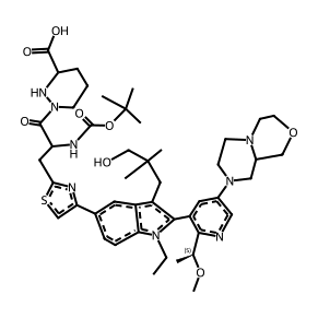 CCn1c(-c2cc(N3CCN4CCOCC4C3)cnc2[C@H](C)OC)c(CC(C)(C)CO)c2cc(-c3csc(CC(NC(=O)OC(C)(C)C)C(=O)N4CCCC(C(=O)O)N4)n3)ccc21